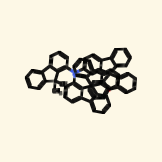 CC1(C)c2ccccc2-c2cccc(N(c3ccc4c(c3)C3(c5ccccc5-c5ccccc53)c3ccccc3-4)c3cccc4c3C3(c5ccccc5-c5ccccc53)c3ccccc3-4)c21